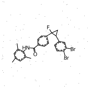 Cc1cc(C)c(NC(=O)c2ccc(C3(F)CC3c3ccc(Br)c(Br)c3)cc2)c(C)c1